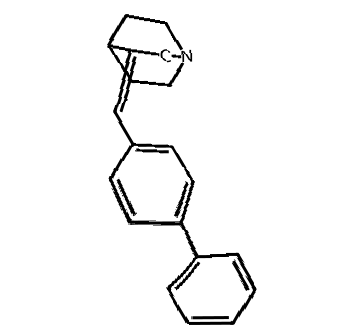 C(=C1/CN2CCC1CC2)/c1ccc(-c2ccccc2)cc1